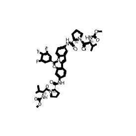 COC(=O)N[C@H](C(=O)N1CCC[C@H]1C(=O)Nc1ccc2c(c1)O[C@@H](c1cc(F)c(F)c(F)c1)n1c-2cc2cc(NC(=O)[C@@H]3CCCN3C(=O)[C@@H](NC(=O)OC)C(C)C)ccc21)C(C)C